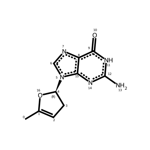 CC1=CC[C@H](n2cnc3c(=O)[nH]c(N)nc32)O1